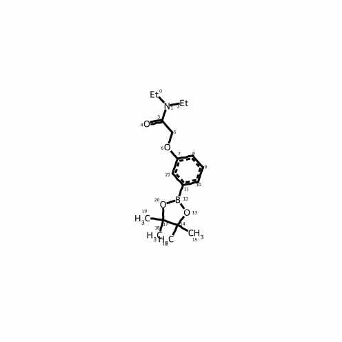 CCN(CC)C(=O)COc1cccc(B2OC(C)(C)C(C)(C)O2)c1